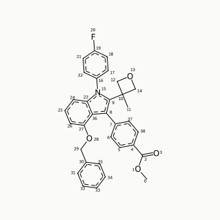 COC(=O)c1ccc(-c2c(C3(C)COC3)n(-c3ccc(F)cc3)c3cccc(OCc4ccccc4)c23)cc1